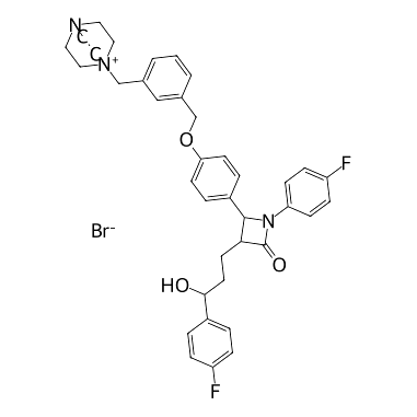 O=C1C(CCC(O)c2ccc(F)cc2)C(c2ccc(OCc3cccc(C[N+]45CCN(CC4)CC5)c3)cc2)N1c1ccc(F)cc1.[Br-]